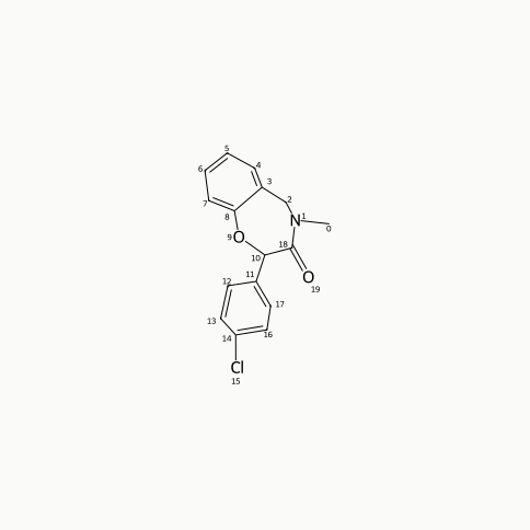 CN1Cc2ccccc2OC(c2ccc(Cl)cc2)C1=O